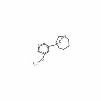 COc1cncc(N2CCN3CCCC2CC3)c1